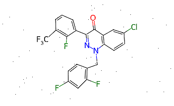 O=c1c(-c2cccc(C(F)(F)F)c2F)nn(Cc2ccc(F)cc2F)c2ccc(Cl)cc12